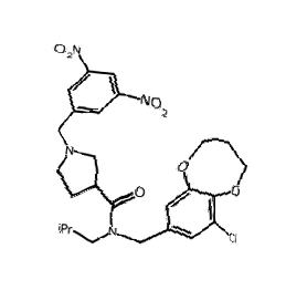 CC(C)CN(Cc1cc(Cl)c2c(c1)OCCCO2)C(=O)C1CCN(Cc2cc([N+](=O)[O-])cc([N+](=O)[O-])c2)C1